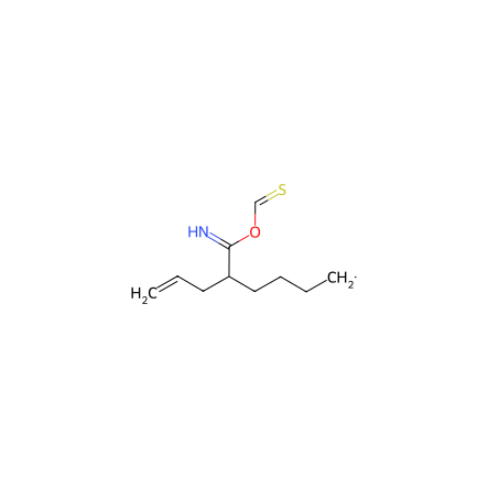 [CH2]CCCC(CC=C)C(=N)OC=S